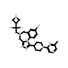 Cc1cncc(N2CCC(c3nnc4n3-c3ccc(Cl)cc3CN(CC(F)(F)C3COC3)C4)CC2)n1